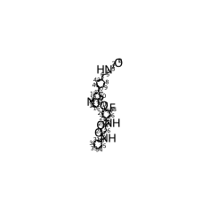 COCCNCCc1ccc(-c2cc3nccc(Oc4ccc(NC(=O)CC(=O)Nc5ccccc5)cc4F)c3s2)cc1